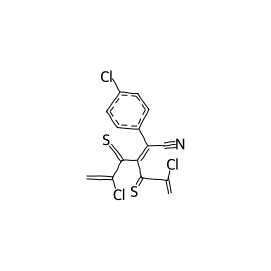 C=C(Cl)C(=S)C(C(=S)C(=C)Cl)=C(C#N)c1ccc(Cl)cc1